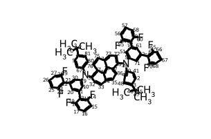 CC(C)(C)c1ccc(N(c2cc(-c3c(F)cccc3F)cc(-c3c(F)cccc3F)c2)c2ccc3ccc4c(N(c5ccc(C(C)(C)C)cc5)c5cc(-c6c(F)cccc6F)cc(-c6c(F)cccc6F)c5)ccc5ccc2c3c54)cc1